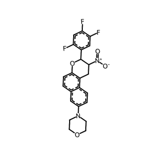 O=[N+]([O-])C1Cc2c(ccc3cc(N4CCOCC4)ccc23)OC1c1cc(F)c(F)cc1F